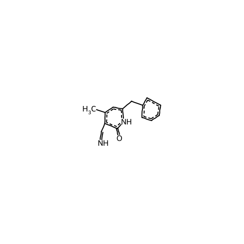 Cc1cc(Cc2ccccc2)[nH]c(=O)c1C=N